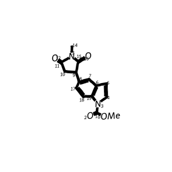 COC(=O)n1ccc2cc(C3CC(=O)N(C)C3=O)ccc21